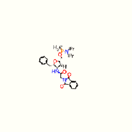 [2H]C1[C@@H](COP(C)N(C(C)C)C(C)C)O[C@@H](Cc2ccccc2)[C@H]1NC(=O)CN1C(=O)c2ccccc2C1=O